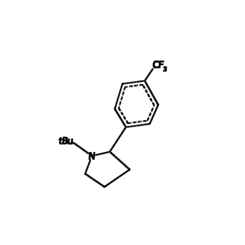 CC(C)(C)N1CCCC1c1ccc(C(F)(F)F)cc1